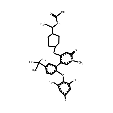 Cc1cc(F)cc(C)c1Oc1ccc(C(C)(C)O)cc1-c1cn(C)c(=O)cc1OC1CCC(C(C)NC(=O)O)CC1